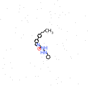 CCCCc1ccc(-c2ccc3ccn(CC(=O)NCCNCC4CCCCC4)c3c2)cc1